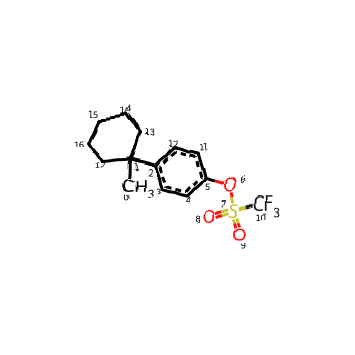 CC1(c2ccc(OS(=O)(=O)C(F)(F)F)cc2)CCCCC1